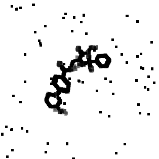 CC(C)(C)OC(=O)[C@H](CNC(=O)c1ccc(N2CCC[C@H](N)C2)cc1)NS(=O)(=O)c1ccccc1